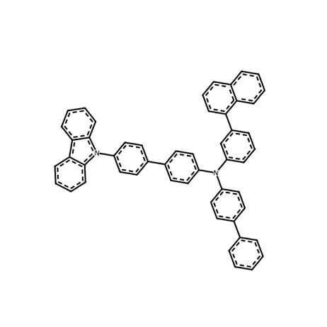 c1ccc(-c2ccc(N(c3ccc(-c4ccc(-n5c6ccccc6c6ccccc65)cc4)cc3)c3cccc(-c4cccc5ccccc45)c3)cc2)cc1